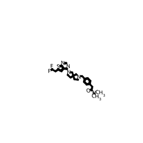 CN(C)C(=O)Cc1ccc(CN2CCC3(CCN(c4ncnc5sc(CC(F)F)cc45)C3)C2)cc1